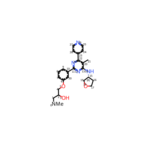 CNCC(O)COc1cccc(-c2nc(N[C@@H]3CCOC3)c(C)c(-c3ccncc3)n2)c1